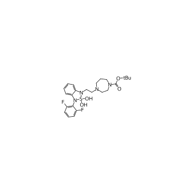 CC(C)(C)OC(=O)N1CCCN(CCN2c3ccccc3N(c3c(F)cccc3F)S2(O)O)CC1